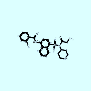 CCC(=O)N(C1CCNCC1)S(=O)(=O)c1ccc(NC(=O)c2ccccc2Cl)c2ccccc12